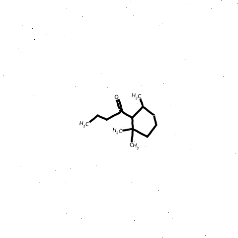 CCCC(=O)C1C(C)CCCC1(C)C